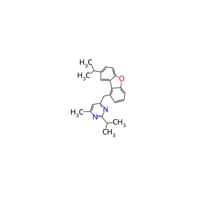 Cc1cc(Cc2cccc3oc4ccc(C(C)C)cc4c23)nc(C(C)C)n1